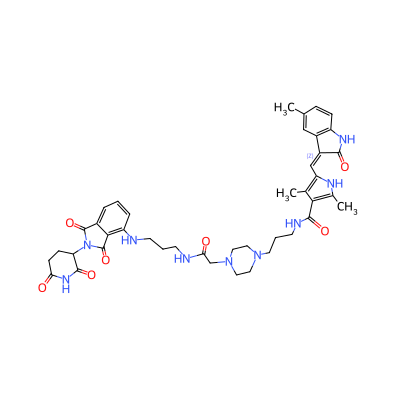 Cc1ccc2c(c1)/C(=C/c1[nH]c(C)c(C(=O)NCCCN3CCN(CC(=O)NCCCNc4cccc5c4C(=O)N(C4CCC(=O)NC4=O)C5=O)CC3)c1C)C(=O)N2